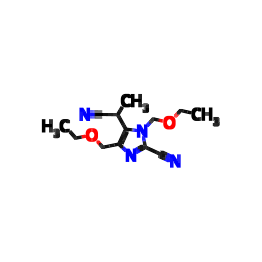 CCOCc1nc(C#N)n(COCC)c1C(C)C#N